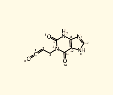 O=C=CCn1c(=O)[nH]c2nc[nH]c2c1=O